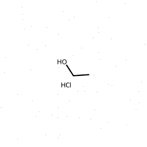 CCO.Cl